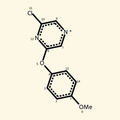 COc1ccc(Oc2cncc(Cl)n2)cc1